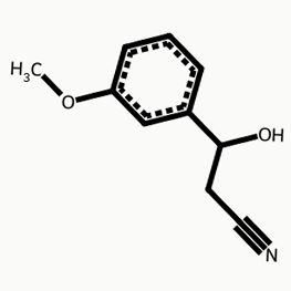 COc1cccc(C(O)CC#N)c1